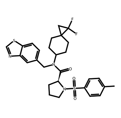 Cc1ccc(S(=O)(=O)N2CCC[C@H]2C(=O)N(Cc2ccc3scnc3c2)C2CCC3(CC2)CC3(F)F)cc1